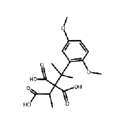 COc1ccc(OC)c(C(C)(C)C(C(=O)O)(C(=O)O)C(C)C(=O)O)c1